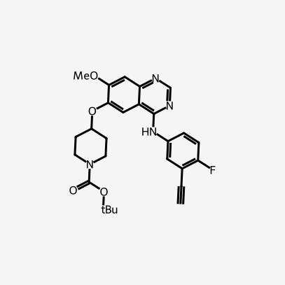 C#Cc1cc(Nc2ncnc3cc(OC)c(OC4CCN(C(=O)OC(C)(C)C)CC4)cc23)ccc1F